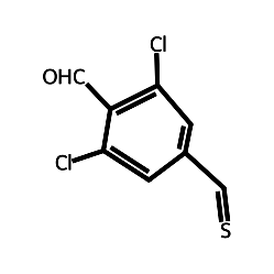 O=Cc1c(Cl)cc(C=S)cc1Cl